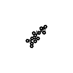 c1ccc(N(c2ccc3c(c2)C(c2ccccc2)(c2ccccc2)c2cc(-c4ccc(N(c5ccccc5)c5cccc6c5oc5ccccc56)cn4)c4ccccc4c2-3)c2ccc3ccccc3c2)cc1